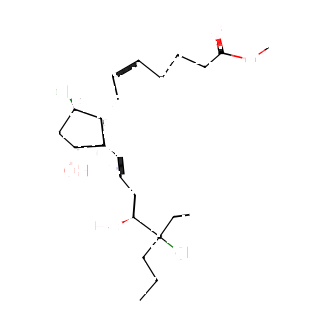 CCCC(Cl)(CC)[C@@H](O)C/C=C/[C@@H]1[C@@H](C/C=C\CCCC(=O)OC)[C@H](Cl)C[C@H]1O